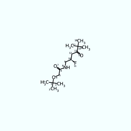 CC(C)(C)OCC(=O)NC[C@H](F)CC(=O)C(C)(C)C